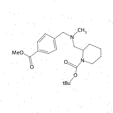 COC(=O)c1ccc(CN(C)CC2CCCCN2C(=O)OC(C)(C)C)cc1